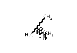 CCCCCCCC(CCCC)C(=O)NC(C)C(=O)NC